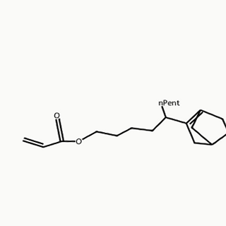 C=CC(=O)OCCCCC(CCCCC)C1=C2CCC(C2)C1